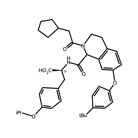 CC(C)Oc1ccc(C[C@H](NC(=O)C2c3cc(Oc4ccc(C(C)(C)C)cc4)ccc3CCN2C(=O)CC2CCCC2)C(=O)O)cc1